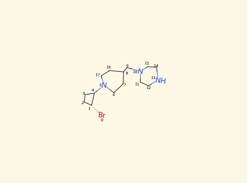 Br[C@@H]1CCC1N1CCC(CN2CCNCC2)CC1